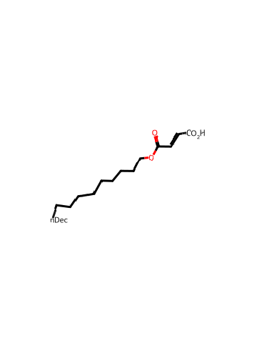 CCCCCCCCCCCCCCCCCCCOC(=O)C=CC(=O)O